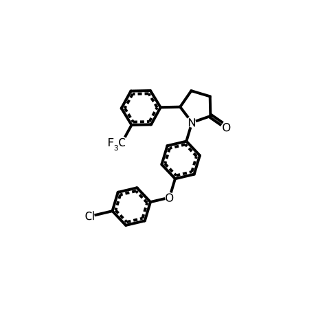 O=C1CCC(c2cccc(C(F)(F)F)c2)N1c1ccc(Oc2ccc(Cl)cc2)cc1